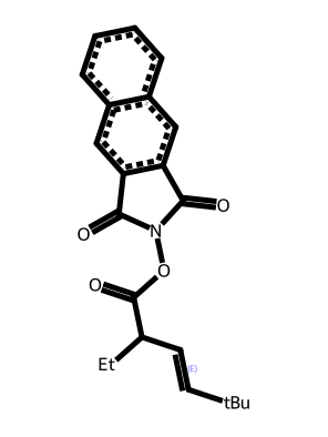 CCC(/C=C/C(C)(C)C)C(=O)ON1C(=O)c2cc3ccccc3cc2C1=O